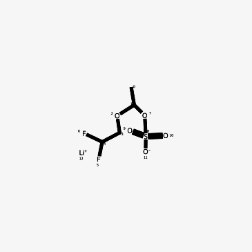 CC(OCC(F)F)OS(=O)(=O)[O-].[Li+]